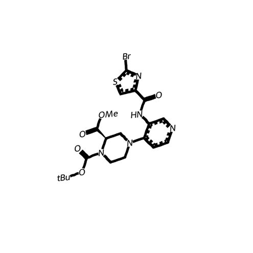 COC(=O)[C@H]1CN(c2ccncc2NC(=O)c2csc(Br)n2)CCN1C(=O)OC(C)(C)C